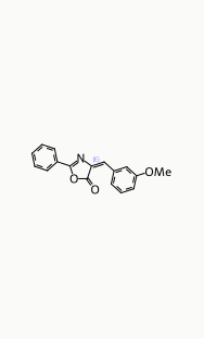 COc1cccc(/C=C2/N=C(c3ccccc3)OC2=O)c1